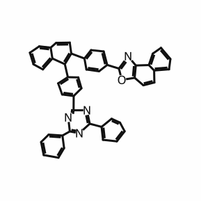 c1ccc(-c2nc(-c3ccccc3)nc(-c3ccc(-c4c(-c5ccc(-c6nc7c(ccc8ccccc87)o6)cc5)ccc5ccccc45)cc3)n2)cc1